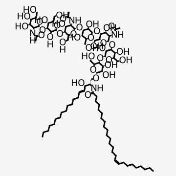 CCCCCCCC/C=C\CCCCCCCCCCCCCCCC(=O)N[C@@H](CO[C@@H]1OC(CO)[C@@H](O[C@@H]2OC(CO)[C@H](O)[C@H](O[C@@H]3OC(CO)[C@@H](O[C@@H]4OC(CO)[C@H](O)[C@H](O[C@@H]5OC(CO)[C@@H](O[C@@H]6OC(CO)[C@H](O)[C@H](O[C@@H]7OC(CO)[C@@H](O)[C@H](O)C7NC(C)=O)C6O)[C@H](O)C5NC(C)=O)C4O)[C@H](O)C3NC(C)=O)C2O)[C@H](O)C1O)[C@H](O)/C=C/CCCCCCCCCCCCC